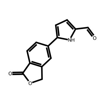 O=Cc1ccc(-c2ccc3c(c2)COC3=O)[nH]1